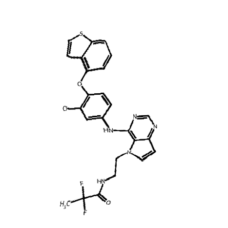 CC(F)(F)C(=O)NCCn1ccc2ncnc(Nc3ccc(Oc4cccc5sccc45)c(Cl)c3)c21